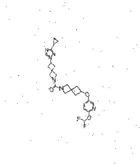 O=C(N1CC2(CC(Oc3ccc(OC(F)F)nc3)C2)C1)N1CC2(CC(n3cnc(C4CC4)n3)C2)C1